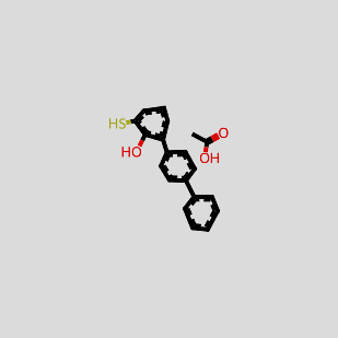 CC(=O)O.Oc1c(S)cccc1-c1ccc(-c2ccccc2)cc1